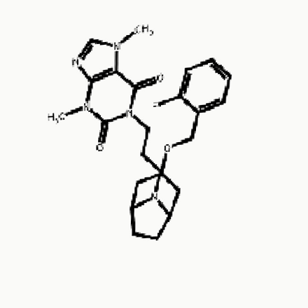 Cn1cnc2c1c(=O)n(CCCN1C3CCC1CC(OCc1ccccc1F)C3)c(=O)n2C